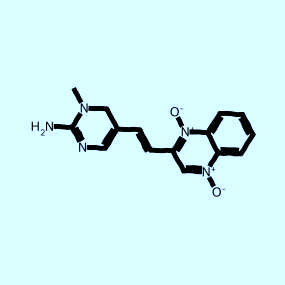 CN1CC(C=Cc2c[n+]([O-])c3ccccc3[n+]2[O-])=CN=C1N